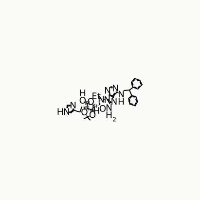 CCN(C(=O)[C@H]1O[C@@H](O)[C@]2(CCc3c[nH]cn3)OC(C)(C)O[C@H]12)n1c(N)nc2c(NCC(c3ccccc3)c3ccccc3)ncnc21